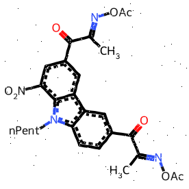 CCCCCn1c2ccc(C(=O)/C(C)=N/OC(C)=O)cc2c2cc(C(=O)/C(C)=N/OC(C)=O)cc([N+](=O)[O-])c21